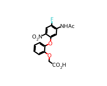 CC(=O)Nc1cc(Oc2ccccc2OCC(=O)O)c([N+](=O)[O-])cc1F